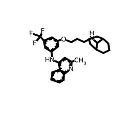 Cc1cc(Nc2cc(OCCCNC3C4CCCC3CCC4)cc(C(F)(F)F)c2)c2ccccc2n1